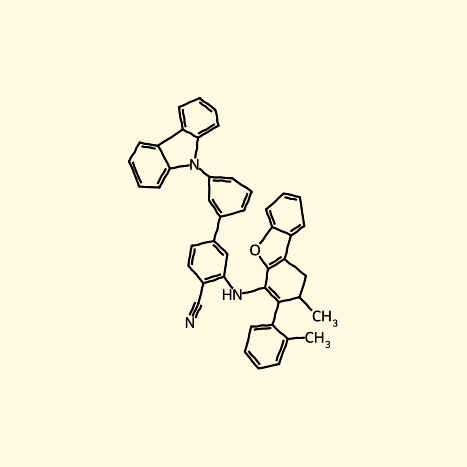 Cc1ccccc1C1=C(Nc2cc(-c3cccc(-n4c5ccccc5c5ccccc54)c3)ccc2C#N)c2oc3ccccc3c2CC1C